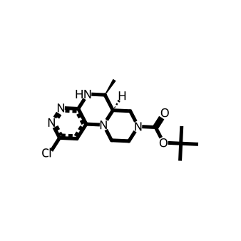 C[C@@H]1Nc2nnc(Cl)cc2N2CCN(C(=O)OC(C)(C)C)C[C@H]12